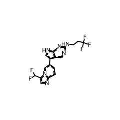 FC(F)c1cnc2ccc(-c3c[nH]c4nc(NCCC(F)(F)F)ncc34)cn12